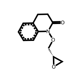 O=C1CCc2ccccc2N1OC[C@@H]1CO1